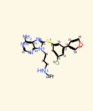 CC(C)NCCCn1c(Sc2cc(Cl)cc(-c3ccoc3)c2)nc2c(N)ncnc21